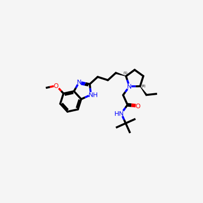 CC[C@@H]1CC[C@H](CCCc2nc3c(OC)cccc3[nH]2)N1CC(=O)NC(C)(C)C